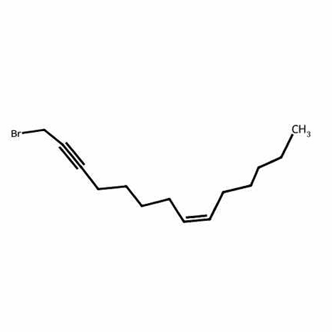 CCCCC/C=C\CCCCC#CCBr